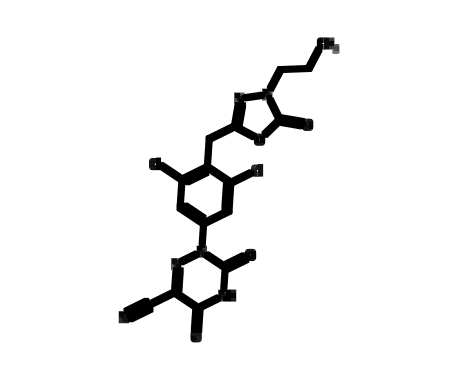 CCCn1nc(Cc2c(Cl)cc(-n3nc(C#N)c(=O)[nH]c3=O)cc2Cl)oc1=O